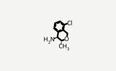 C[C@H]1OCc2c(Cl)cccc2[C@@H]1N